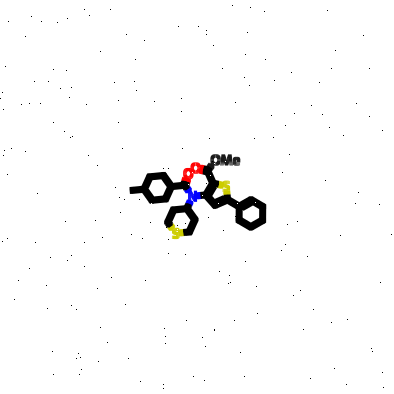 COC(=O)c1sc(C2=CCCCC2)cc1N(C(=O)C1CCC(C)CC1)C1CCSCC1